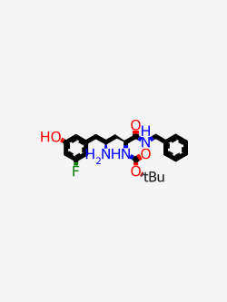 CC(C)(C)OC(=O)N[C@@H](C[C@@H](N)Cc1cc(O)cc(F)c1)C(=O)NCc1ccccc1